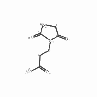 O=C(O)CCN1C(=O)CNC1=O